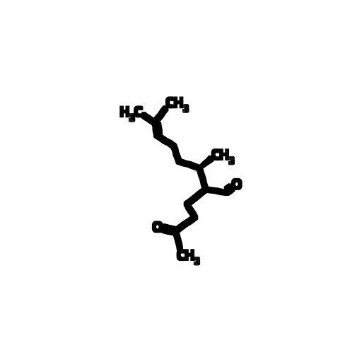 CC(=O)CCC(C=O)[C@H](C)CCC=C(C)C